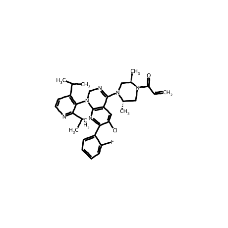 C=CC(=O)N1C[C@H](C)N(C2=NCN(c3c(C(C)C)ccnc3C(C)C)c3nc(-c4ccccc4F)c(Cl)cc32)C[C@H]1C